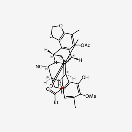 CCC(=O)NC1CS[C@@H]2c3c(OC(C)=O)c(C)c4c(c3[C@H](COC1=O)N1C2[C@@H]2N[C@@H](Cc3cc(C)c(OC)c(O)c32)[C@@H]1C#N)OCO4